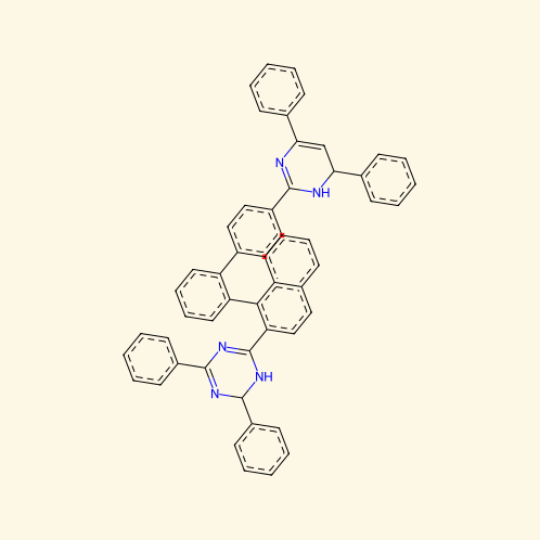 C1=C(c2ccccc2)N=C(c2ccc(-c3ccccc3-c3c(C4=NC(c5ccccc5)=NC(c5ccccc5)N4)ccc4ccccc34)cc2)NC1c1ccccc1